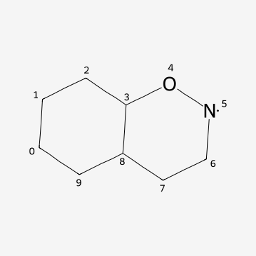 C1CCC2O[N]CCC2C1